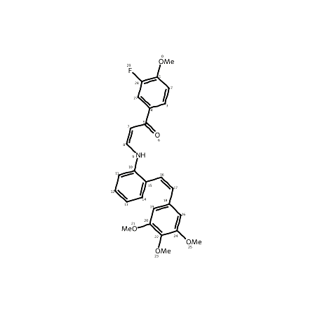 COc1ccc(C(=O)/C=C\Nc2ccccc2/C=C\c2cc(OC)c(OC)c(OC)c2)cc1F